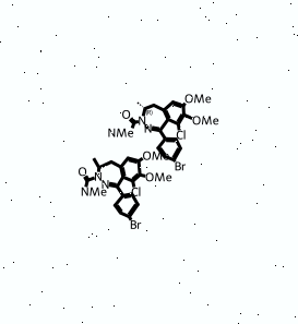 CNC(=O)N1N=C(c2ccc(Br)cc2)c2c(cc(OC)c(OC)c2Cl)CC1C.CNC(=O)N1N=C(c2ccc(Br)cc2)c2c(cc(OC)c(OC)c2Cl)C[C@H]1C